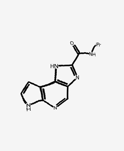 CC(C)NC(=O)c1nc2cnc3[nH]ccc3c2[nH]1